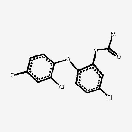 CCC(=O)Oc1cc(Cl)ccc1Oc1ccc(Cl)cc1Cl